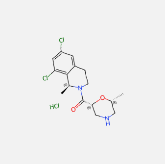 C[C@@H]1CNC[C@H](C(=O)N2CCc3cc(Cl)cc(Cl)c3[C@@H]2C)O1.Cl